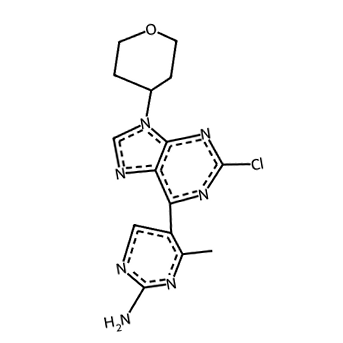 Cc1nc(N)ncc1-c1nc(Cl)nc2c1ncn2C1CCOCC1